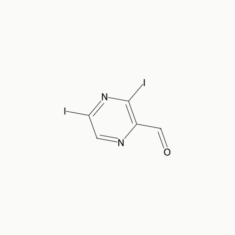 O=Cc1ncc(I)nc1I